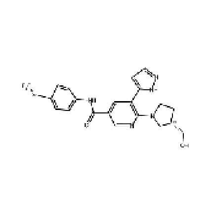 O=C(Nc1ccc(SC(F)(F)F)cc1)c1cnc(N2CC[C@H](CO)C2)c(-c2ccn[nH]2)c1